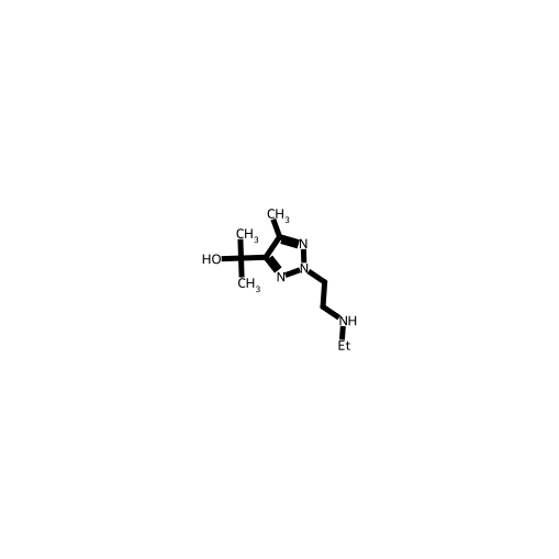 CCNCCn1nc(C)c(C(C)(C)O)n1